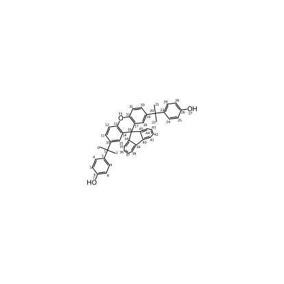 CC(C)(c1ccc(O)cc1)c1ccc2c(c1)C1(c3cc(C(C)(C)c4ccc(O)cc4)ccc3O2)c2ccccc2-c2ccccc21